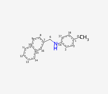 Cc1ccc(NCc2ccc3ccccc3c2)cc1